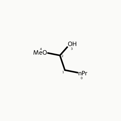 CCCCC(O)OC